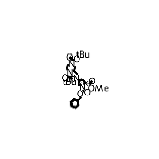 COC(=O)[C@H]1C[C@H](NCC2CN(C(=O)OC(C)(C)C)CCN2C(=O)OC(C)(C)C)CN1C(=O)OCc1ccccc1